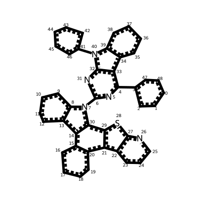 c1ccc(-c2nc(-n3c4ccccc4c4c5ccccc5c5c6cccnc6sc5c43)nc3c2c2ccccc2n3-c2ccccc2)cc1